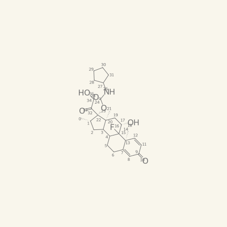 C[C@H]1CC2C3CCC4=CC(=O)C=C[C@]4(C)C3(F)[C@@H](O)C[C@]2(C)[C@]1(OC(=O)NC1CCCC1)C(=O)CO